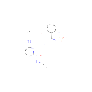 NC1=NS(=O)(=O)Nc2cccc(OC[C@H]3CCCN(c4cccc(C(=O)NC5CC5)n4)C3)c21